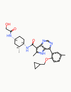 Cc1ccc(OCC2CC2)c(-c2ncnc3c(C(=O)N[C@H]4CC[C@@H](NC(=O)CO)C[C@H]4C)c(C)[nH]c23)c1